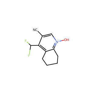 N#Cc1c[n+](O)c2c(c1C(F)F)CCCC2